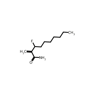 C=C(C(N)=O)C(F)CCCCCCC